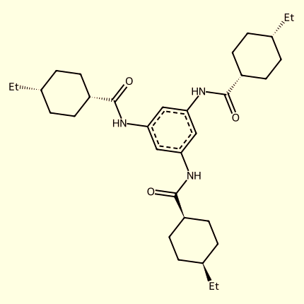 CC[C@H]1CC[C@@H](C(=O)Nc2cc(NC(=O)[C@H]3CC[C@@H](CC)CC3)cc(NC(=O)[C@H]3CC[C@@H](CC)CC3)c2)CC1